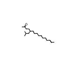 CCCCCCCCCCCC(CCC(C)=O)CC(C)C